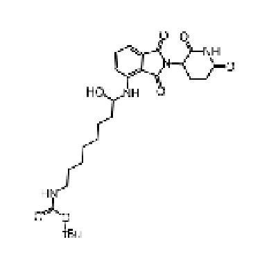 CC(C)(C)OC(=O)NCCCCCCCC(O)Nc1cccc2c1C(=O)N(C1CCC(=O)NC1=O)C2=O